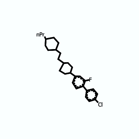 CCCC1CCC(CCC2CCC(c3ccc(-c4ccc(Cl)cc4)c(F)c3)CC2)CC1